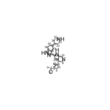 CC(=O)c1ccc(-c2cncc3[nH]c(-c4n[nH]c5ccc(C6=CCNCC6)cc45)cc23)s1